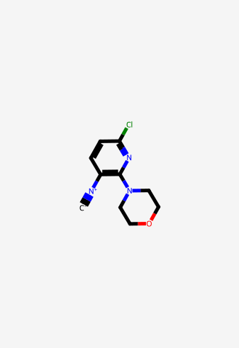 [C-]#[N+]c1ccc(Cl)nc1N1CCOCC1